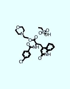 CCS(=O)(=O)O.O=C(NC(Cc1cc(=O)[nH]c2ccccc12)C(=O)OCCN1CCOCC1)c1ccc(Cl)cc1